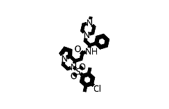 Cc1cc(S(=O)(=O)N2CCn3cccc3C2CC(=O)NC(CN2CCN(C)CC2)c2ccccc2)c(C)cc1Cl